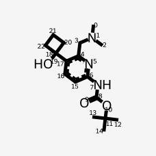 CN(C)Cc1nc(NC(=O)OC(C)(C)C)ccc1C1(O)CCC1